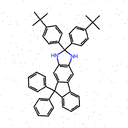 CC(C)(C)c1ccc(C2(c3ccc(C(C)(C)C)cc3)Nc3cc4c(cc3N2)C(c2ccccc2)(c2ccccc2)c2ccccc2-4)cc1